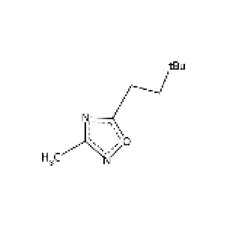 Cc1noc(CCC(C)(C)C)n1